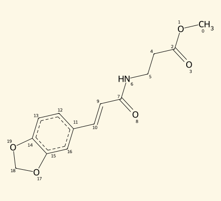 COC(=O)CCNC(=O)/C=C/c1ccc2c(c1)OCO2